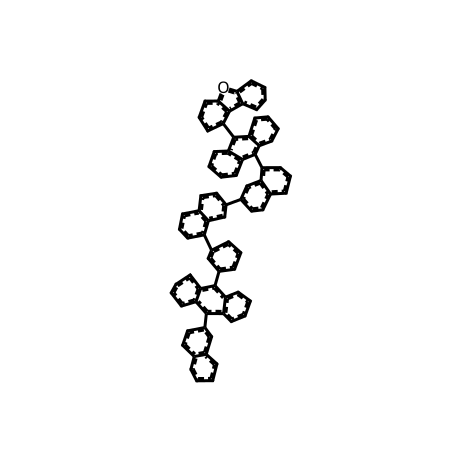 c1cc(-c2cccc3ccc(-c4ccc5cccc(-c6c7ccccc7c(-c7cccc8oc9ccccc9c78)c7ccccc67)c5c4)cc23)cc(-c2c3ccccc3c(-c3ccc4ccccc4c3)c3ccccc23)c1